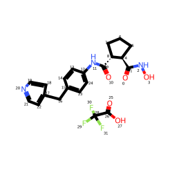 O=C(NO)[C@@H]1CCC[C@H]1C(=O)Nc1ccc(Cc2ccncc2)cc1.O=C(O)C(F)(F)F